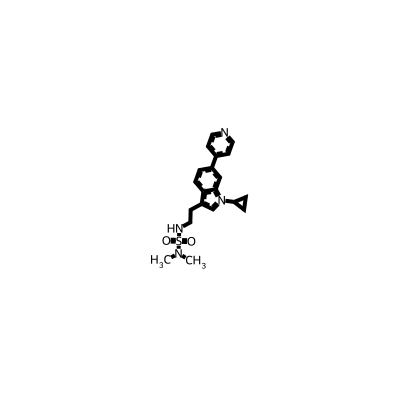 CN(C)S(=O)(=O)NCCc1cn(C2CC2)c2cc(-c3ccncc3)ccc12